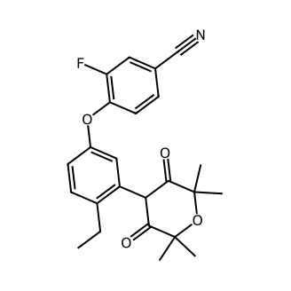 CCc1ccc(Oc2ccc(C#N)cc2F)cc1C1C(=O)C(C)(C)OC(C)(C)C1=O